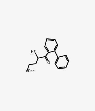 CCCCCCCCCCCCC(S)C(=O)c1ccccc1-c1ccccc1